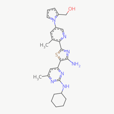 Cc1cc(-c2sc(-c3ncc(-n4cccc4CO)cc3C)nc2N)nc(NC2CCCCC2)n1